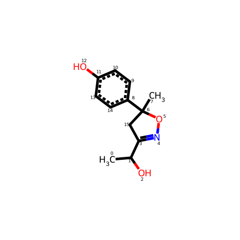 CC(O)C1=NOC(C)(c2ccc(O)cc2)C1